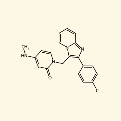 CNc1ccn(Cc2c(-c3ccc(Cl)cc3)nc3ccccn23)c(=O)n1